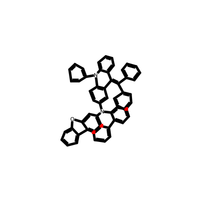 c1ccc(C(=C2c3ccccc3N(c3ccccc3)c3ccc(N(c4ccc5c(c4)oc4ccccc45)c4ccccc4-c4ccccc4)cc32)c2ccccc2)cc1